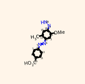 COc1cc(N=Nc2ccc(C(=O)O)cc2)c(C)cc1N=N